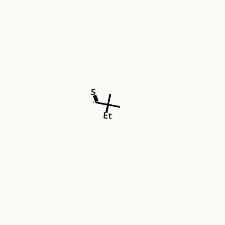 CCC(C)(C)[C]=S